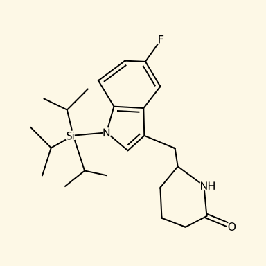 CC(C)[Si](C(C)C)(C(C)C)n1cc(CC2CCCC(=O)N2)c2cc(F)ccc21